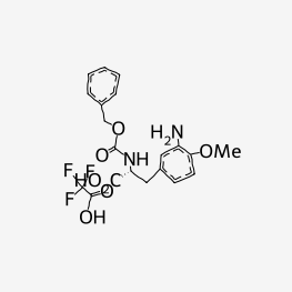 COc1ccc(C[C@@H](NC(=O)OCc2ccccc2)C(=O)O)cc1N.O=C(O)C(F)(F)F